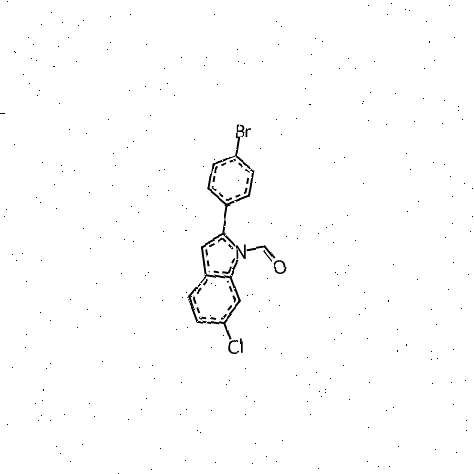 O=Cn1c(-c2ccc(Br)cc2)cc2ccc(Cl)cc21